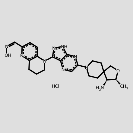 C[C@@H]1OCC2(CCN(c3cnc4c(N5CCCc6nc(/C=N\O)ccc65)n[nH]c4n3)CC2)[C@@H]1N.Cl